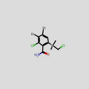 CCc1cc([Si](C)(C)CCl)c(C(N)=O)c(Cl)c1CC